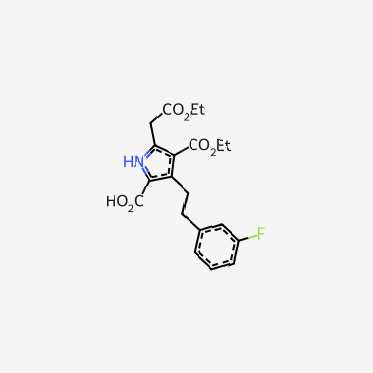 CCOC(=O)Cc1[nH]c(C(=O)O)c(CCc2cccc(F)c2)c1C(=O)OCC